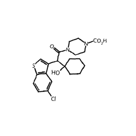 O=C(O)N1CCN(C(=O)C(c2csc3ccc(Cl)cc23)C2(O)CCCCC2)CC1